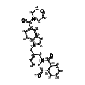 CN(C/C(=C\F)Cn1ccc2cc(C(=O)N3CCOCC3)ccc21)C(=O)c1ccccc1C=O